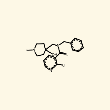 CN1CCC(O)(CN(Cc2ccccc2)C(=O)c2cccnc2Cl)CC1